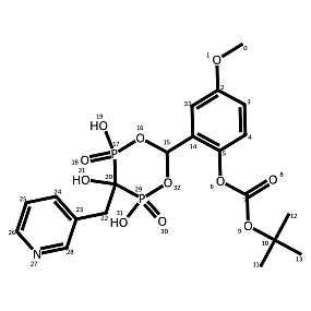 COc1ccc(OC(=O)OC(C)(C)C)c(C2OP(=O)(O)C(O)(Cc3cccnc3)P(=O)(O)O2)c1